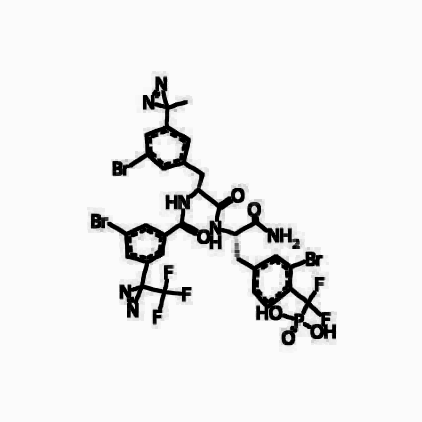 CC1(c2cc(Br)cc(C[C@H](NC(=O)c3cc(Br)cc(C4(C(F)(F)F)N=N4)c3)C(=O)N[C@@H](Cc3ccc(C(F)(F)P(=O)(O)O)c(Br)c3)C(N)=O)c2)N=N1